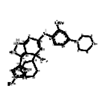 COc1cc(N2CCOCC2)ccc1NC1=NC(N)(C2CCCCC2)C2=C(c3cn(C(C)C)cn3)NNC2=N1